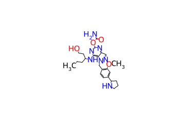 CCCC(CCO)Nc1nc(OC(N)=O)nc2cnn(Cc3ccc(C4CCCN4)cc3OC)c12